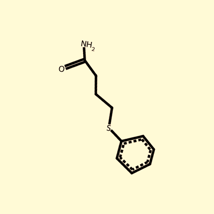 NC(=O)CCCSc1ccccc1